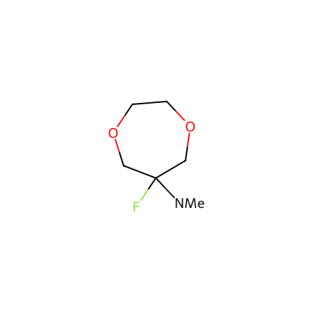 CNC1(F)COCCOC1